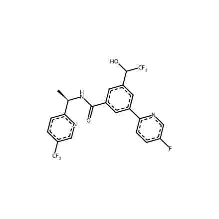 C[C@@H](NC(=O)c1cc(-c2ccc(F)cn2)cc(C(O)C(F)(F)F)c1)c1ccc(C(F)(F)F)cn1